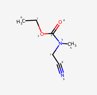 CCOC(=O)N(C)CC#N